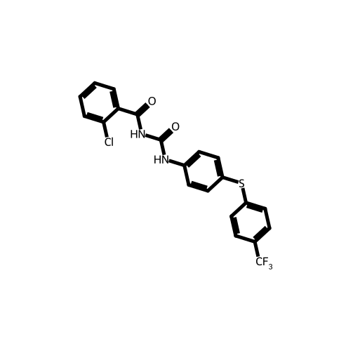 O=C(NC(=O)c1ccccc1Cl)Nc1ccc(Sc2ccc(C(F)(F)F)cc2)cc1